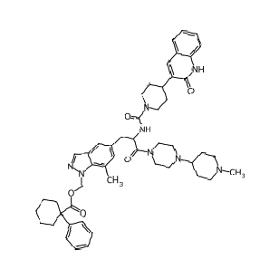 Cc1cc(CC(NC(=O)N2CCC(c3cc4ccccc4[nH]c3=O)CC2)C(=O)N2CCN(C3CCN(C)CC3)CC2)cc2cnn(COC(=O)C3(c4ccccc4)CCCCC3)c12